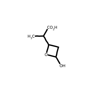 CC(C(=O)O)C1CC(O)O1